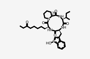 CCC(=O)CCCCC[C@@H]1NC(=O)[C@H](Cc2cn(O)c3ccccc23)NC(=O)[C@H](C(C)CC)NC(=O)[C@@H]2CCCCN2C1=O